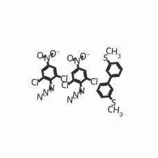 CSc1cccc(-c2cccc(SC)c2)c1.[N-]=[N+]=Nc1c(Cl)cc([N+](=O)[O-])cc1Cl.[N-]=[N+]=Nc1c(Cl)cc([N+](=O)[O-])cc1Cl